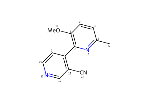 COc1ccc(C)nc1-c1ccncc1C#N